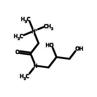 CN(CC(O)CO)C(=O)C[N+](C)(C)C